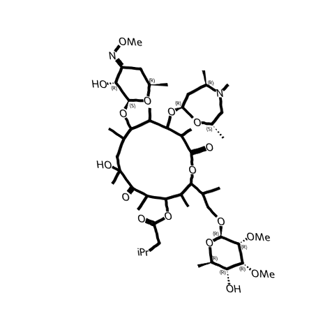 CON=C1C[C@@H](C)O[C@@H](OC2C(C)CC(C)(O)C(=O)C(C)C(OC(=O)CC(C)C)C(C)C(C(C)CO[C@@H]3O[C@H](C)[C@@H](O)[C@@H](OC)[C@H]3OC)OC(=O)C(C)C(O[C@H]3C[C@@H](C)N(C)C[C@H](C)O3)C2C)[C@@H]1O